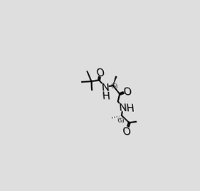 CC(=O)[C@H](C)NCC(=O)[C@H](C)NC(=O)C(C)(C)C